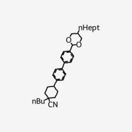 CCCCCCCC1COC(c2ccc(-c3ccc(C4CCC(C#N)(CCCC)CC4)cc3)cc2)OC1